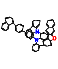 c1ccc(N(c2ccc(-c3ccc(-c4cccc5ccccc45)cc3)cc2)c2ccccc2-n2c3ccccc3c3ccccc32)c(-c2ccc3oc4cc5ccccc5cc4c3c2)c1